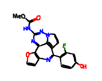 COC(=O)Nc1nc2c3c(ccn3n1)C(c1ccc(O)cc1F)=Nc1ccoc1-2